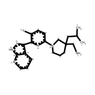 CC(C)CC1(CN)CCCN(c2ccc(F)c(-c3n[nH]c4ncccc34)n2)C1